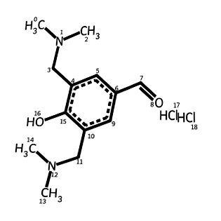 CN(C)Cc1cc(C=O)cc(CN(C)C)c1O.Cl.Cl